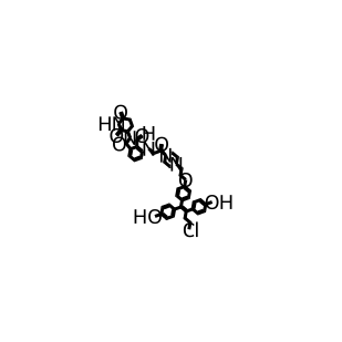 O=C1CCC(N2C(=O)c3cccc(NCC(=O)N4CCN(CCOc5ccc(C(=C(CCCl)c6ccc(O)cc6)c6ccc(O)cc6)cc5)CC4)c3C2=O)C(=O)N1